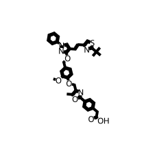 COc1cc(COc2nn(-c3ccccc3)cc2/C=C/c2csc(C(C)(C)C)n2)ccc1OCc1nc(-c2ccc(CC(=O)O)cc2)oc1C